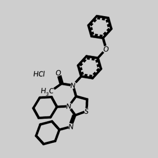 CC(=O)N(c1ccc(Oc2ccccc2)cc1)C1CSC(=NC2CCCCC2)N1C1CCCCC1.Cl